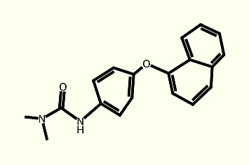 CN(C)C(=O)Nc1ccc(Oc2cccc3ccccc23)cc1